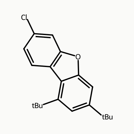 CC(C)(C)c1cc(C(C)(C)C)c2c(c1)oc1cc(Cl)ccc12